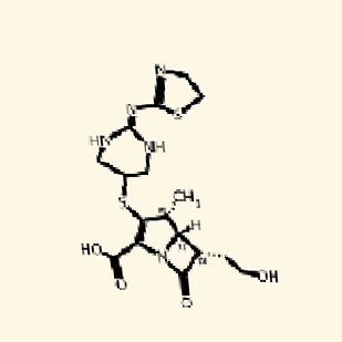 C[C@H]1C(SC2CNC(=NC3=NCCS3)NC2)=C(C(=O)O)N2C(=O)[C@@H](CCO)[C@@H]12